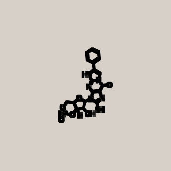 O=c1c2nc(S)n([C@@H]3OC4CO[PH](=O)O[C@H]4C3O)c2nc2[nH]c(-c3ccccc3)cn12